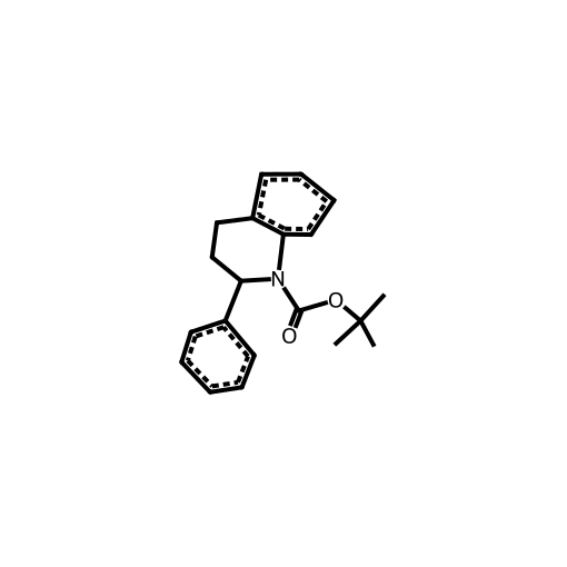 CC(C)(C)OC(=O)N1c2ccccc2CCC1c1ccccc1